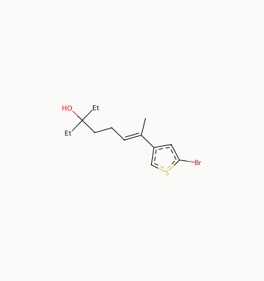 CCC(O)(CC)CCC=C(C)c1csc(Br)c1